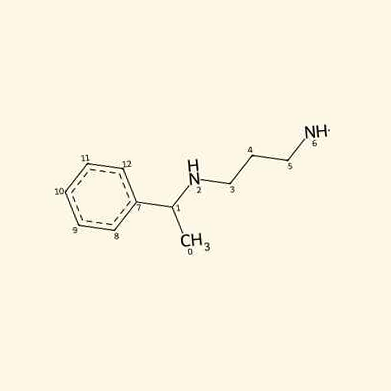 CC(NCCC[NH])c1ccccc1